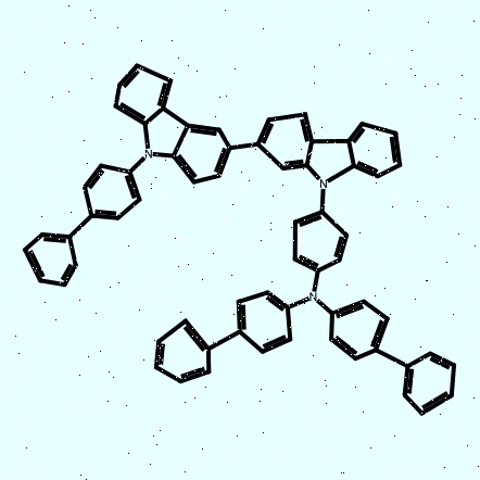 c1ccc(-c2ccc(N(c3ccc(-c4ccccc4)cc3)c3ccc(-n4c5ccccc5c5ccc(-c6ccc7c(c6)c6ccccc6n7-c6ccc(-c7ccccc7)cc6)cc54)cc3)cc2)cc1